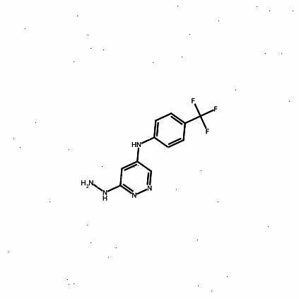 NNc1cc(Nc2ccc(C(F)(F)F)cc2)cnn1